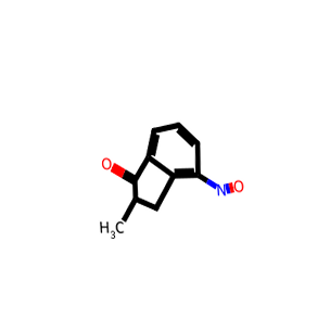 CC1Cc2c(N=O)cccc2C1=O